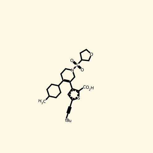 CC1CCC(C2=C(c3cc(C#CC(C)(C)C)sc3C(=O)O)CN(S(=O)(=O)C3CCOC3)CC2)CC1